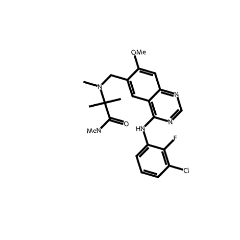 CNC(=O)C(C)(C)N(C)Cc1cc2c(Nc3cccc(Cl)c3F)ncnc2cc1OC